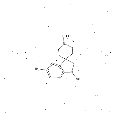 CC(=O)N1CC2(CCN(C(=O)O)CC2)c2cc(Br)ccc21